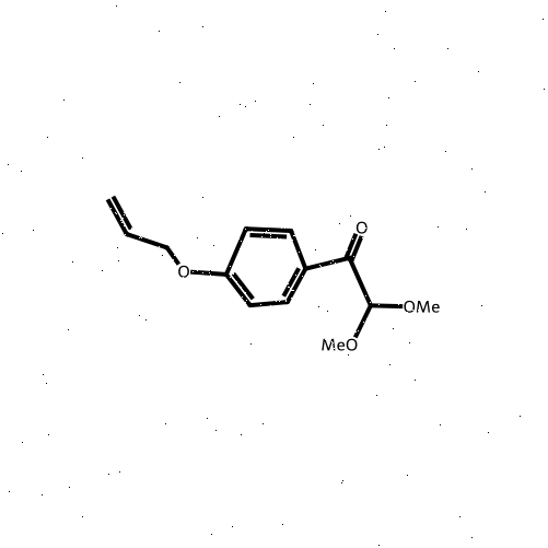 C=CCOc1ccc(C(=O)C(OC)OC)cc1